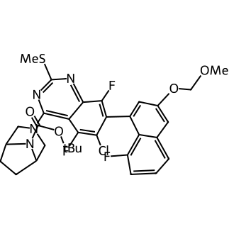 COCOc1cc(-c2c(Cl)c(F)c3c(N4CC5CCC(C4)N5C(=O)OC(C)(C)C)nc(SC)nc3c2F)c2c(F)cccc2c1